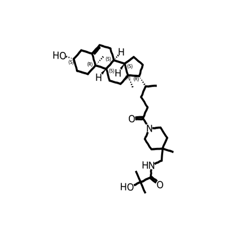 CC(CCC(=O)N1CCC(C)(CNC(=O)C(C)(C)O)CC1)[C@H]1CC[C@H]2[C@@H]3CC=C4C[C@@H](O)CC[C@]4(C)[C@H]3CC[C@]12C